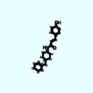 O=C(C=Cc1ccc(O)cc1)NN1CCC(Cc2ccccc2)CC1